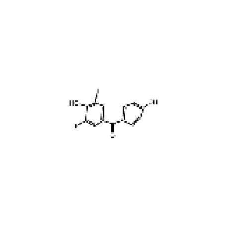 O=C(c1ccc(O)cc1)c1cc(I)c(O)c(I)c1